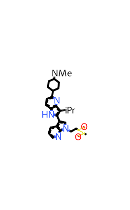 CNC1CCC(c2ccc3[nH]c(-c4cn(CCS(C)(=O)=O)c5ncccc45)c(C(C)C)c3n2)CC1